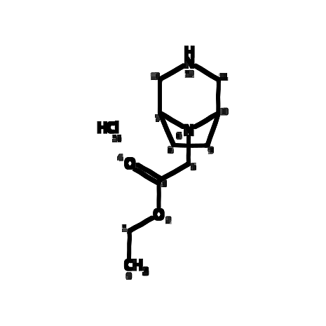 CCOC(=O)CN1C2CCC1CNC2.Cl